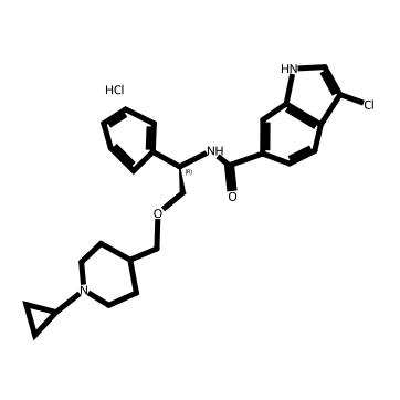 Cl.O=C(N[C@@H](COCC1CCN(C2CC2)CC1)c1ccccc1)c1ccc2c(Cl)c[nH]c2c1